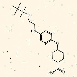 CC(C)(C)[Si](C)(C)OCCNc1ccc(OC2CCC(C(=O)O)CC2)nc1